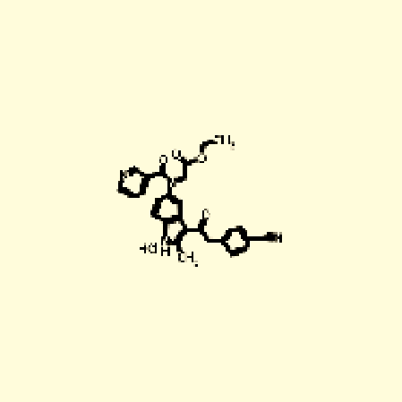 CCOC(=O)CN(C(=O)c1cccnc1)c1ccc2[nH]c(C)c(C(=O)Cc3ccc(C#N)cc3)c2c1.Cl